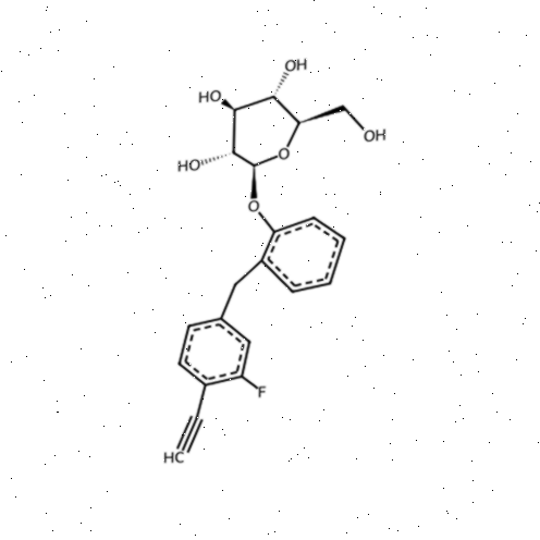 C#Cc1ccc(Cc2ccccc2O[C@@H]2O[C@H](CO)[C@@H](O)[C@H](O)[C@H]2O)cc1F